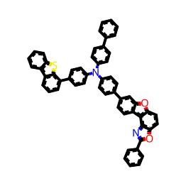 c1ccc(-c2ccc(N(c3ccc(-c4ccc5c(c4)oc4ccc6oc(-c7ccccc7)nc6c45)cc3)c3ccc(-c4cccc5c4sc4ccccc45)cc3)cc2)cc1